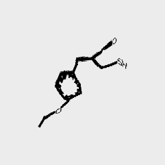 CCOc1ccc(CC([C]=O)CS)cc1